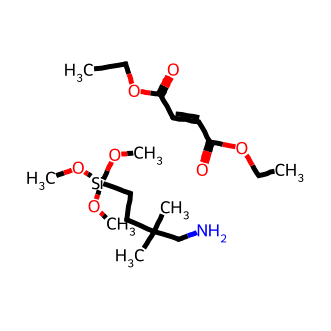 CCOC(=O)C=CC(=O)OCC.CO[Si](CCC(C)(C)CN)(OC)OC